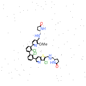 COc1nc(-c2cccc(-c3cccc(-c4cnc5c(Cl)c(CNC[C@H]6CCC(=O)N6)sc5c4)c3Cl)c2Cl)ccc1CNC[C@@H]1CCC(=O)N1